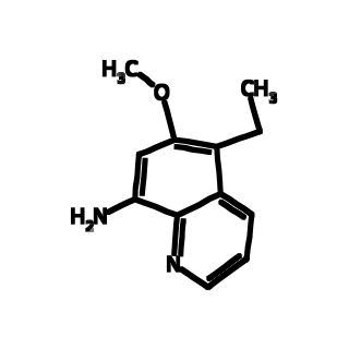 CCc1c(OC)cc(N)c2ncccc12